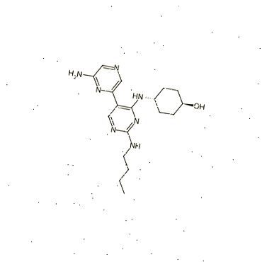 CCCCNc1ncc(-c2cncc(N)n2)c(N[C@H]2CC[C@H](O)CC2)n1